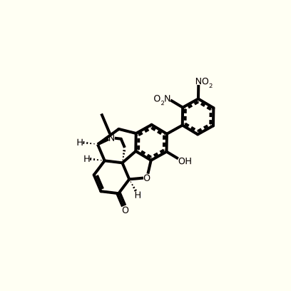 CN1CC[C@]23c4c5cc(-c6cccc([N+](=O)[O-])c6[N+](=O)[O-])c(O)c4O[C@H]2C(=O)C=C[C@H]3[C@H]1C5